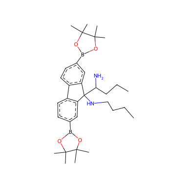 CCCCNC1(C(N)CCC)c2cc(B3OC(C)(C)C(C)(C)O3)ccc2-c2ccc(B3OC(C)(C)C(C)(C)O3)cc21